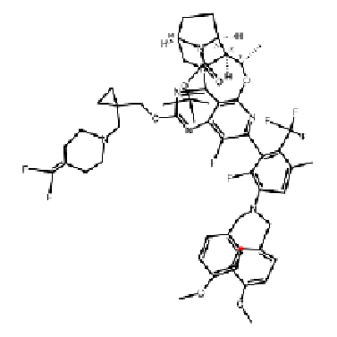 COc1ccc(CN(Cc2ccc(OC)cc2)c2cc(C)c(C(F)(F)F)c(-c3nc4c5c(nc(OCC6(CN7CCC(=C(F)F)CC7)CC6)nc5c3F)N3C[C@H]5CC[C@@H]([C@H]3[C@H](C)O4)N5C(=O)OC(C)(C)C)c2F)cc1